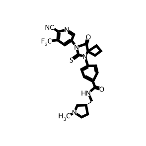 CN1CC[C@@H](CNC(=O)c2ccc(N3C(=S)N(c4cnc(C#N)c(C(F)(F)F)c4)C(=O)C34CCC4)cc2)C1